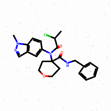 CC(Cl)C(=O)N(c1ccc2c(cnn2C)c1)C1(C(=O)NCc2ccccc2)CCOCC1